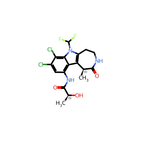 C[C@H](O)C(=O)Nc1cc(Cl)c(Cl)c2c1c1c(n2C(F)F)CCNC(=O)[C@H]1C